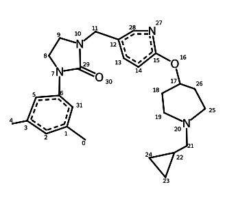 Cc1cc(C)cc(N2CCN(Cc3ccc(OC4CCN(CC5CC5)CC4)nc3)C2=O)c1